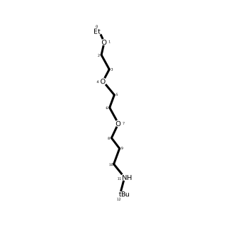 CCOCCOCCOCCCNC(C)(C)C